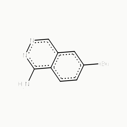 CC(C)(C)c1ccc2c(N)nncc2c1